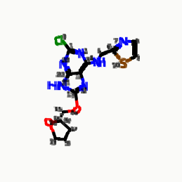 Clc1nc(NCc2nccs2)c2nc(OC[C@@H]3CCCO3)[nH]c2n1